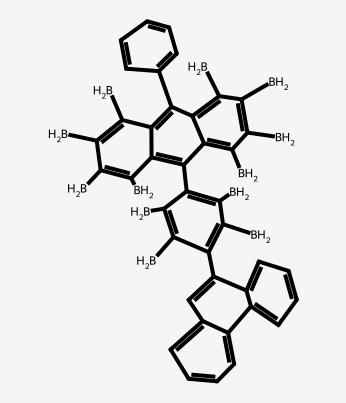 Bc1c(B)c(-c2c3c(B)c(B)c(B)c(B)c3c(-c3ccccc3)c3c(B)c(B)c(B)c(B)c23)c(B)c(B)c1-c1cc2ccccc2c2ccccc12